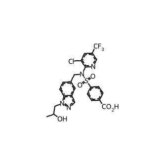 CC(O)Cn1ncc2cc(CN(c3ncc(C(F)(F)F)cc3Cl)S(=O)(=O)c3ccc(C(=O)O)cc3)ccc21